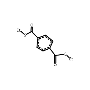 CCSC(=O)c1ccc(C(=O)SCC)cc1